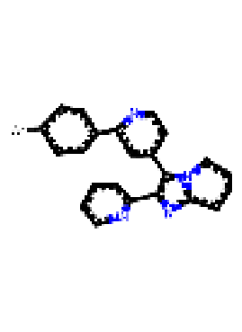 CC(=O)c1ccc(-c2cc(-c3c(-c4ccccn4)nc4ccccn34)ccn2)cc1